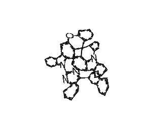 c1ccc2c(c1)Oc1cc3c4ccccc4n(-c4nc(-c5ccc6ccccc6c5)c5ccccc5n4)c3cc1C21c2ccccc2-n2c3ccccc3c3cccc1c32